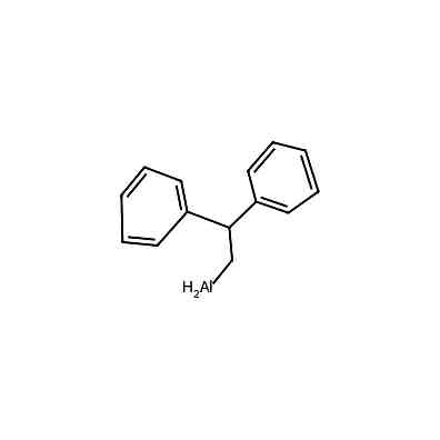 [AlH2][CH2]C(c1ccccc1)c1ccccc1